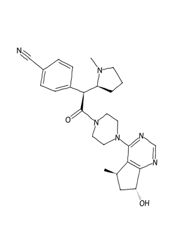 C[C@@H]1C[C@@H](O)c2ncnc(N3CCN(C(=O)[C@@H](c4ccc(C#N)cc4)[C@@H]4CCCN4C)CC3)c21